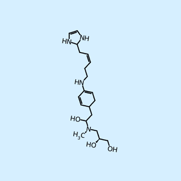 CN(C[C@H](O)CO)C(O)CC1C=CC(NCC/C=C\CC2NC=CN2)=CC1